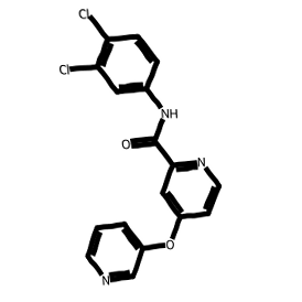 O=C(Nc1ccc(Cl)c(Cl)c1)c1cc(Oc2cccnc2)ccn1